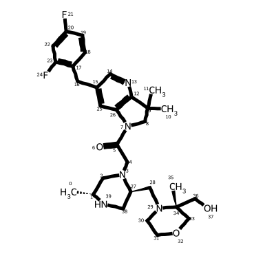 C[C@@H]1CN(CC(=O)N2CC(C)(C)c3ncc(Cc4ccc(F)cc4F)cc32)[C@@H](CN2CCOC[C@@]2(C)CO)CN1